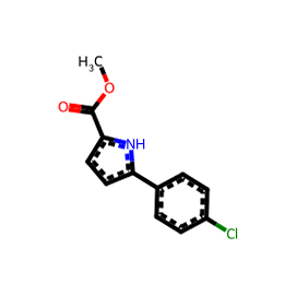 COC(=O)c1ccc(-c2ccc(Cl)cc2)[nH]1